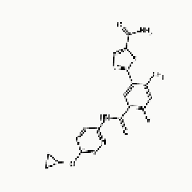 Cc1cc(F)c(C(=O)Nc2ccc(OC3CC3)cn2)cc1-c1ncc(C(N)=O)s1